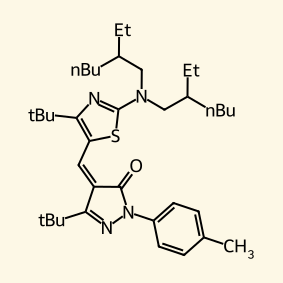 CCCCC(CC)CN(CC(CC)CCCC)c1nc(C(C)(C)C)c(/C=C2\C(=O)N(c3ccc(C)cc3)N=C2C(C)(C)C)s1